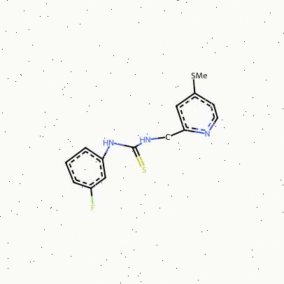 CSc1ccnc(CNC(=S)Nc2cccc(F)c2)c1